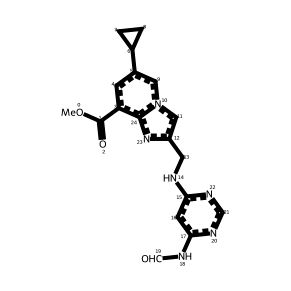 COC(=O)c1cc(C2CC2)cn2cc(CNc3cc(NC=O)ncn3)nc12